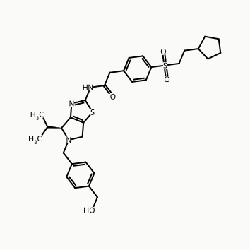 CC(C)[C@H]1c2nc(NC(=O)Cc3ccc(S(=O)(=O)CCC4CCCC4)cc3)sc2CN1Cc1ccc(CO)cc1